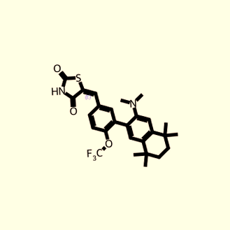 CN(C)c1cc2c(cc1-c1cc(/C=C3/SC(=O)NC3=O)ccc1OC(F)(F)F)C(C)(C)CCC2(C)C